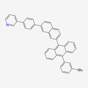 CC(C)(C)c1cccc(-c2c3ccccc3c(-c3ccc4ccc(-c5ccc(-c6cccnc6)cc5)cc4c3)c3ccccc23)c1